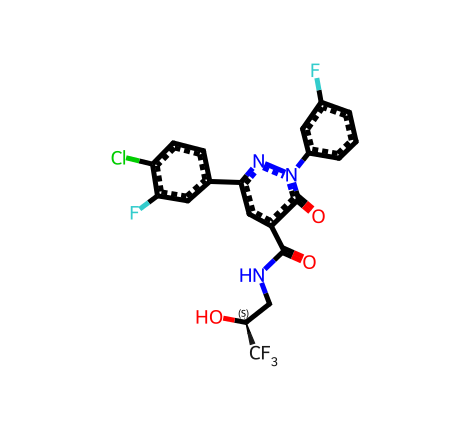 O=C(NC[C@H](O)C(F)(F)F)c1cc(-c2ccc(Cl)c(F)c2)nn(-c2cccc(F)c2)c1=O